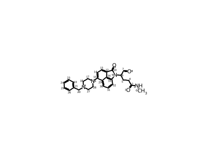 CNC(=O)CCC(C=O)N1C(=O)c2ccc(N3CCN(Cc4ccccc4)CC3)c3cccc1c23